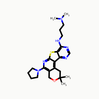 CN(C)CCCNc1ncnc2c1sc1nc(N3CCCC3)c3c(c12)CC(C)(C)OC3